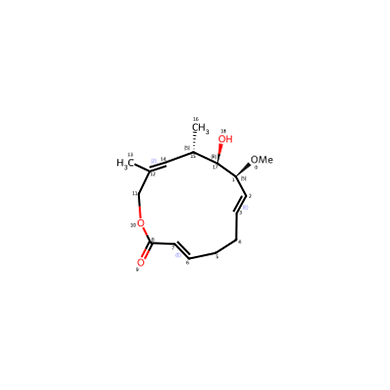 CO[C@H]1/C=C/CC/C=C/C(=O)OC/C(C)=C\[C@H](C)[C@H]1O